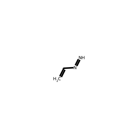 C=[C]N=N